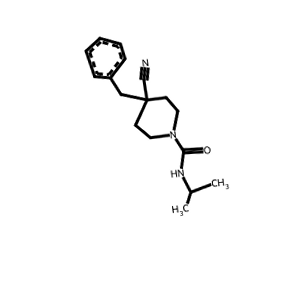 CC(C)NC(=O)N1CCC(C#N)(Cc2ccccc2)CC1